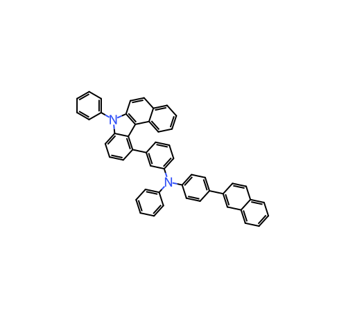 c1ccc(N(c2ccc(-c3ccc4ccccc4c3)cc2)c2cccc(-c3cccc4c3c3c5ccccc5ccc3n4-c3ccccc3)c2)cc1